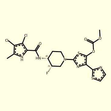 COC(=O)Oc1sc(N2CC[C@@H](NC(=O)c3[nH]c(C)c(Cl)c3Cl)[C@@H](F)C2)nc1-c1nccs1